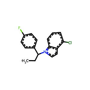 [CH2]CC(c1ccc(F)cc1)n1ccc2c(Cl)cccc21